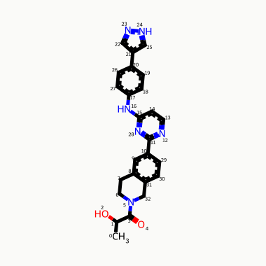 CC(O)C(=O)N1CCc2cc(-c3nccc(Nc4ccc(-c5cn[nH]c5)cc4)n3)ccc2C1